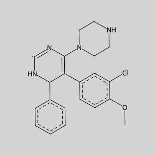 COc1ccc(C2=C(N3CCNCC3)N=[C]NC2c2ccccc2)cc1Cl